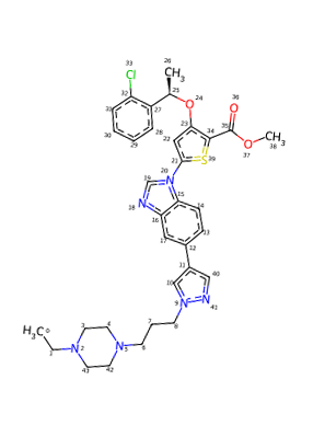 CCN1CCN(CCCn2cc(-c3ccc4c(c3)ncn4-c3cc(O[C@H](C)c4ccccc4Cl)c(C(=O)OC)s3)cn2)CC1